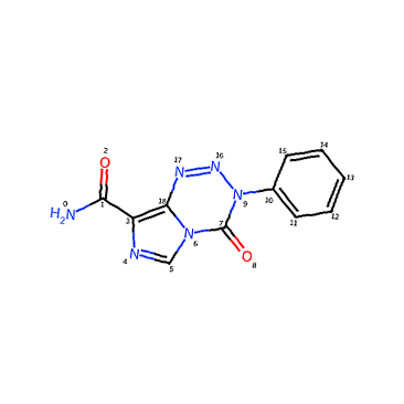 NC(=O)c1ncn2c(=O)n(-c3ccccc3)nnc12